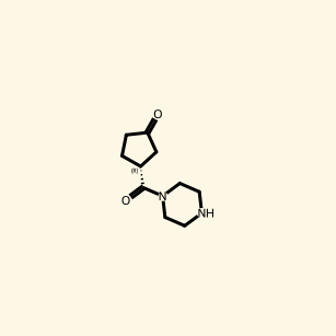 O=C1CC[C@@H](C(=O)N2CCNCC2)C1